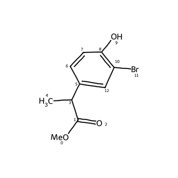 COC(=O)C(C)c1ccc(O)c(Br)c1